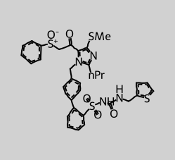 CCCc1nc(SC)c(C(=O)C[S+]([O-])c2ccccc2)n1Cc1ccc(-c2ccccc2S(=O)(=O)NC(=O)NCc2cccs2)cc1